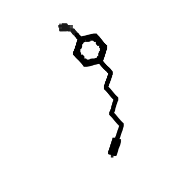 [C]#CCCCCCc1ccc(C(C)(C)C)cc1